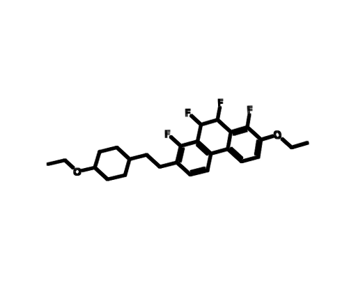 CCOc1ccc2c(c1F)C(F)C(F)c1c-2ccc(CCC2CCC(OCC)CC2)c1F